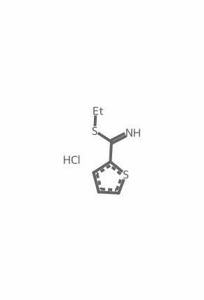 CCSC(=N)c1cccs1.Cl